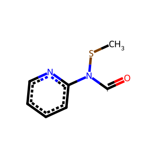 CSN([C]=O)c1ccccn1